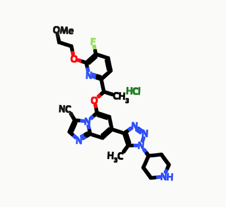 COCCOc1nc(C(C)Oc2cc(-c3nnn(C4CCNCC4)c3C)cc3ncc(C#N)n23)ccc1F.Cl